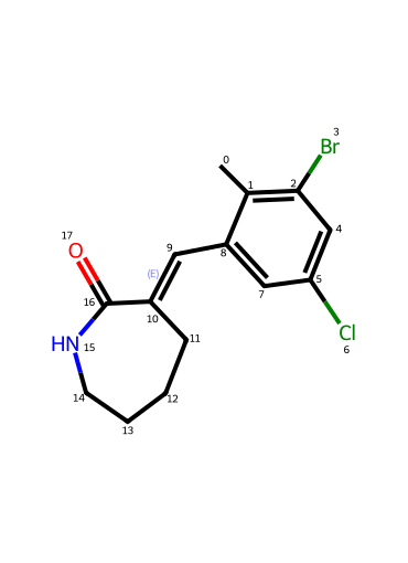 Cc1c(Br)cc(Cl)cc1/C=C1\CCCCNC1=O